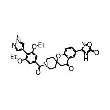 CCOc1cc(C(=O)N2CCC3(CC2)CC(=O)c2cc(-c4noc(=O)[nH]4)ccc2O3)cc(OCC)c1-c1cnn(C)c1